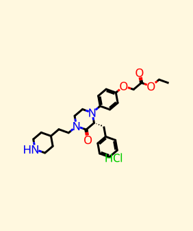 CCOC(=O)COc1ccc(N2CCN(CCC3CCNCC3)C(=O)[C@H]2Cc2ccccc2)cc1.Cl